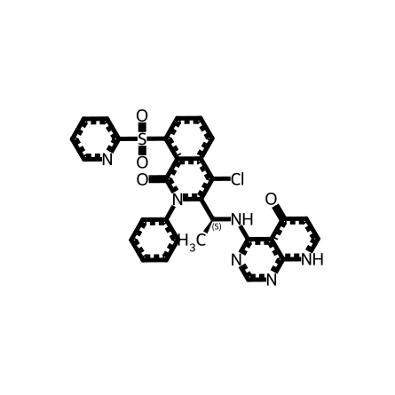 C[C@H](Nc1ncnc2[nH]ccc(=O)c12)c1c(Cl)c2cccc(S(=O)(=O)c3ccccn3)c2c(=O)n1-c1ccccc1